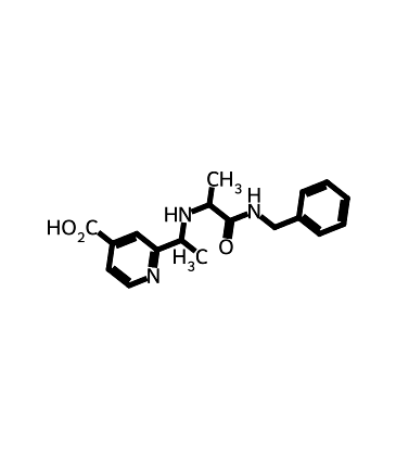 CC(NC(C)c1cc(C(=O)O)ccn1)C(=O)NCc1ccccc1